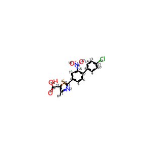 Cc1nc(-c2ccc(-c3ccc(Cl)cc3)c([N+](=O)[O-])c2)sc1C(=O)O